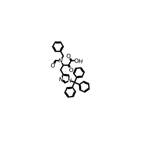 O=CN(Cc1ccccc1)C(Cc1cn(C(c2ccccc2)(c2ccccc2)c2ccccc2)cn1)C(=O)C(=O)O